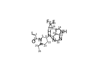 C=CC(=O)N1CC(Nc2ncnc3[nH]cc([C@@H]4CC4(F)F)c23)CC[C@H]1CC